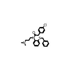 CN(C)CCCN(C(=O)Cc1ccc(Cl)cc1)c1ccccc1SCc1ccccc1